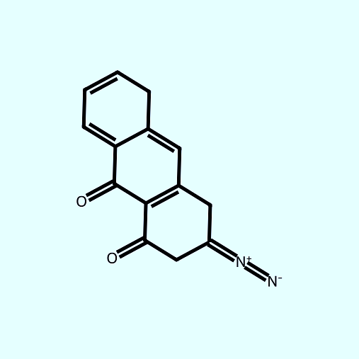 [N-]=[N+]=C1CC(=O)C2=C(C=C3CC=CC=C3C2=O)C1